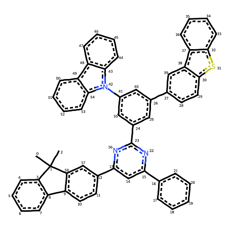 CC1(C)c2ccccc2-c2ccc(-c3cc(-c4ccccc4)nc(-c4cc(-c5ccc6sc7ccccc7c6c5)cc(-n5c6ccccc6c6ccccc65)c4)n3)cc21